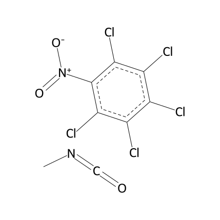 CN=C=O.O=[N+]([O-])c1c(Cl)c(Cl)c(Cl)c(Cl)c1Cl